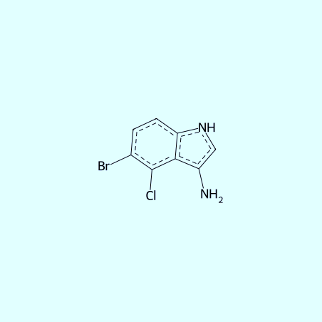 Nc1c[nH]c2ccc(Br)c(Cl)c12